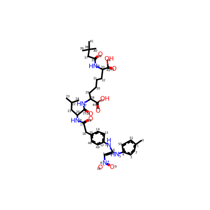 Cc1ccc(NC(=C[N+](=O)[O-])Nc2ccc(CC(=O)NC(CC(C)C)C(=O)NC(CCCCC(NC(=O)CC(C)(C)C)C(=O)O)C(=O)O)cc2)cc1